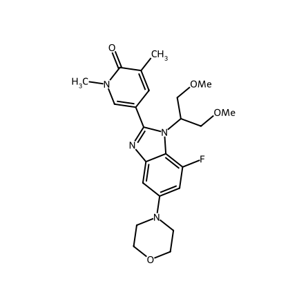 COCC(COC)n1c(-c2cc(C)c(=O)n(C)c2)nc2cc(N3CCOCC3)cc(F)c21